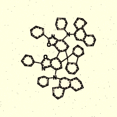 c1ccc(-c2nc3c(N(c4ccccc4)c4cc5ccccc5c5ccccc45)cc4c(c3o2)-c2c(cc(N(c3ccccc3)c3cc5ccccc5c5ccccc35)c3nc(-c5ccccc5)oc23)C42c3ccccc3-c3ccccc32)cc1